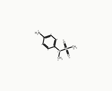 CN(c1ccc(N)cc1)S(C)(=O)=O